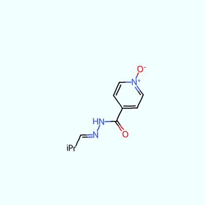 CC(C)/C=N/NC(=O)c1cc[n+]([O-])cc1